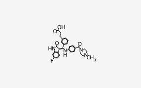 CN1CCN(C(=O)c2ccc(NC(=C3C(=O)Nc4cc(F)ccc43)c3cccc(CCC(=O)O)c3)cc2)CC1